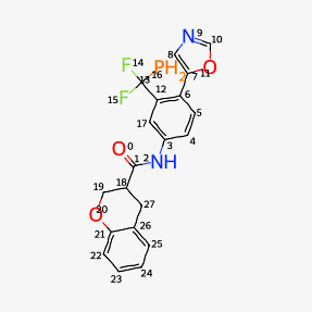 O=C(Nc1ccc(-c2cnco2)c(C(F)(F)P)c1)C1COc2ccccc2C1